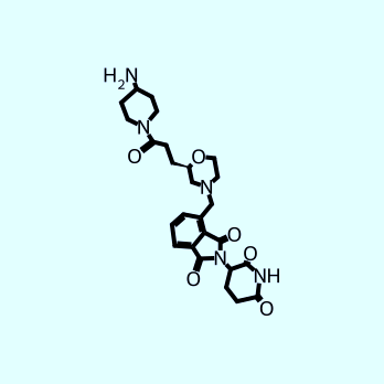 NC1CCN(C(=O)CC[C@@H]2CN(Cc3cccc4c3C(=O)N(C3CCC(=O)NC3=O)C4=O)CCO2)CC1